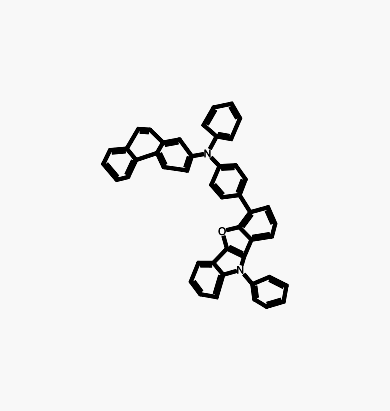 c1ccc(N(c2ccc(-c3cccc4c3oc3c5ccccc5n(-c5ccccc5)c43)cc2)c2ccc3c(ccc4ccccc43)c2)cc1